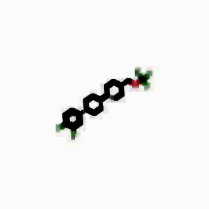 Fc1ccc([C@H]2CC[C@H]([C@H]3CC[C@H](COC(F)(F)F)CC3)CC2)cc1F